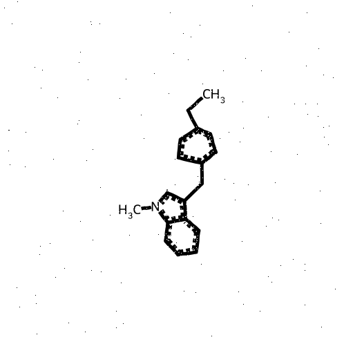 CCc1ccc(Cc2[c]n(C)c3ccccc23)cc1